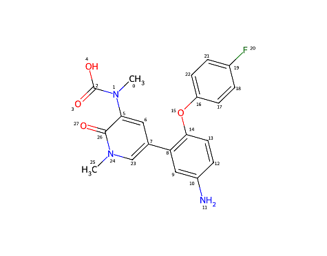 CN(C(=O)O)c1cc(-c2cc(N)ccc2Oc2ccc(F)cc2)cn(C)c1=O